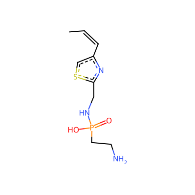 C/C=C\c1csc(CNP(=O)(O)CCN)n1